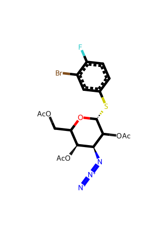 CC(=O)OCC1O[C@H](Sc2ccc(F)c(Br)c2)C(OC(C)=O)[C@@H](N=[N+]=[N-])[C@H]1OC(C)=O